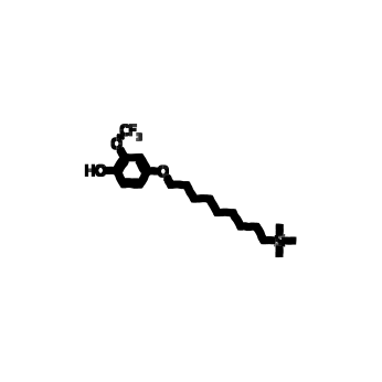 C[Si](C)(C)CCCCCCCCCOc1ccc(O)c(OC(F)(F)F)c1